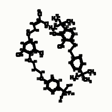 CC(C)(C)c1ccc(CSc2cnn(C(C)(C)C)c(=O)c2Cl)cc1.FC(F)(F)c1ccc(OCCCOc2c(Cl)cc(OCC=C(Cl)Cl)cc2Cl)nc1